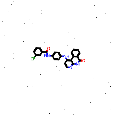 O=C(Nc1ccc(Nc2ccnc3[nH]c(=O)c4ccccc4c23)cc1)c1cccc(Cl)c1